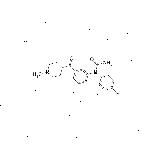 CN1CCC(C(=O)c2cccc(N(C(N)=O)c3ccc(F)cc3)c2)CC1